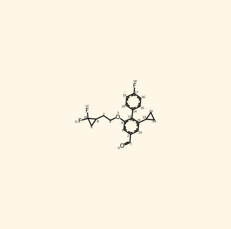 O=Cc1cc(OCCC2CC2(F)F)c(-c2ccc(F)cc2)c(C2CC2)c1